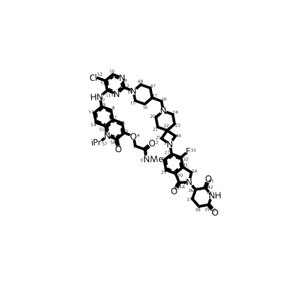 CNC(=O)COc1cc2cc(Nc3nc(N4CCC(CN5CCC6(CC5)CN(c5ccc7c(c5F)CN(C5CCC(=O)NC5=O)C7=O)C6)CC4)ncc3Cl)ccc2n(C(C)C)c1=O